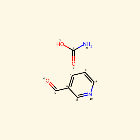 NC(=O)O.O=Cc1cccnc1